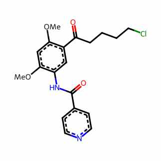 COc1cc(OC)c(C(=O)CCCCCl)cc1NC(=O)c1ccncc1